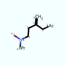 C=C(CCN(I)CCC)CC(C)=O